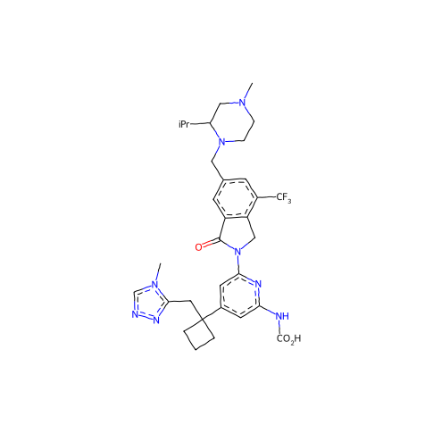 CC(C)C1CN(C)CCN1Cc1cc2c(c(C(F)(F)F)c1)CN(c1cc(C3(Cc4nncn4C)CCC3)cc(NC(=O)O)n1)C2=O